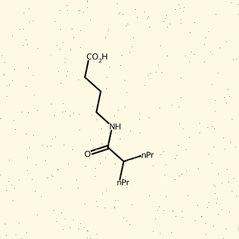 CCCC(CCC)C(=O)NCCCC(=O)O